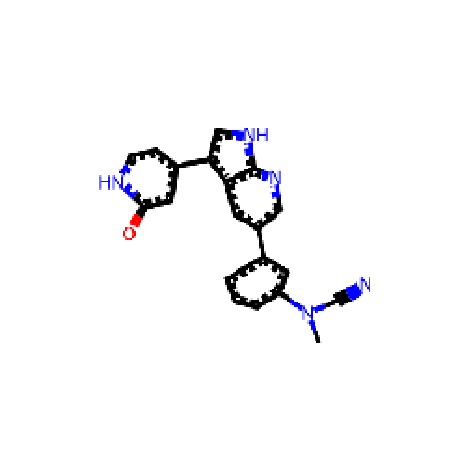 CN(C#N)c1cccc(-c2cnc3[nH]cc(-c4cc[nH]c(=O)c4)c3c2)c1